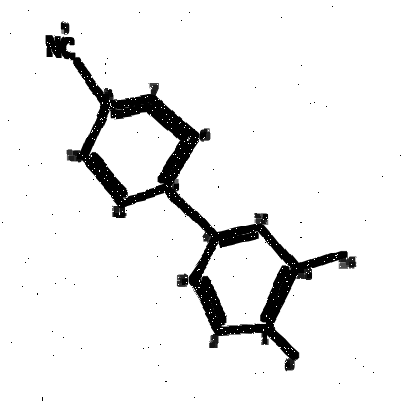 Cc1ccc(C2=C=C=C(C#N)C=C2)cc1C